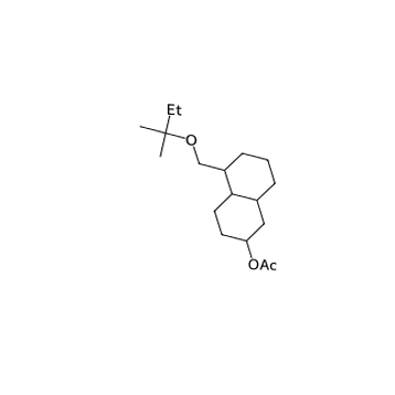 CCC(C)(C)OCC1CCCC2CC(OC(C)=O)CCC12